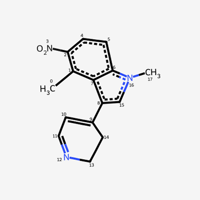 Cc1c([N+](=O)[O-])ccc2c1c(C1=CC=NCC1)cn2C